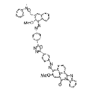 COc1cc2c(=O)n3c4ccccc4nc3c3cccc(c1N=Nc1ccc(-c4nnc(-c5ccc(N=Nc6c(OC)c(CON(C)c7ccccc7)cc7ccccc67)cc5)o4)cc1)c23